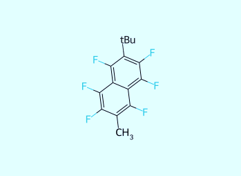 Cc1c(F)c(F)c2c(F)c(C(C)(C)C)c(F)c(F)c2c1F